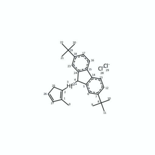 CC1=[C]([Hf+2][CH]2c3cc(C(C)(C)C)ccc3-c3ccc(C(C)(C)C)cc32)CC=C1.[Cl-].[Cl-]